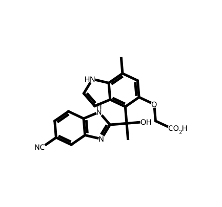 Cc1cc(OCC(=O)O)c(C(C)(O)c2nc3cc(C#N)ccc3[nH]2)c2cc[nH]c12